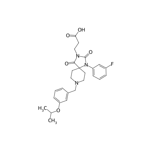 CC(C)Oc1cccc(CN2CCC3(CC2)C(=O)N(CCC(=O)O)C(=O)N3c2cccc(F)c2)c1